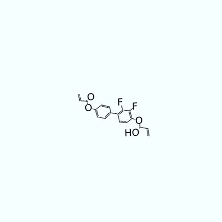 C=CC(=O)Oc1ccc(-c2ccc(OC(O)C=C)c(F)c2F)cc1